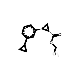 CCOC(=O)[C@H]1C[C@@H]1c1cccc(C2CC2)c1